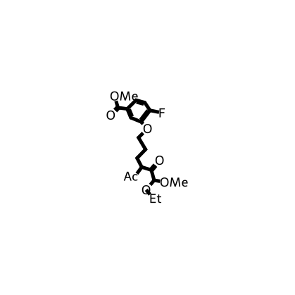 CCOC(OC)C(=O)C(CCCOc1cc(C(=O)OC)ccc1F)C(C)=O